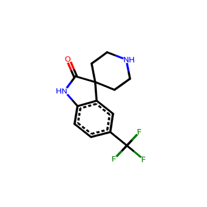 O=C1Nc2ccc(C(F)(F)F)cc2C12CCNCC2